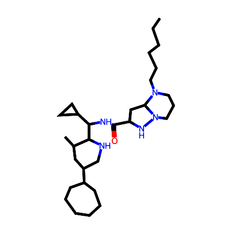 CCCCCCN1CCCN2NC(C(=O)NC(C3CC3)C3NCC(C4CCCCCC4)CC3C)CC12